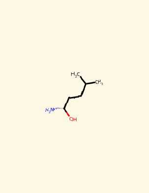 CC(C)CC[C@@H](N)O